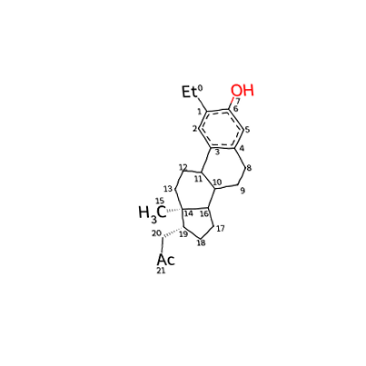 CCc1cc2c(cc1O)CCC1C2CC[C@@]2(C)C1CC[C@@H]2CC(C)=O